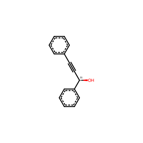 O[C@H](C#Cc1ccccc1)c1ccccc1